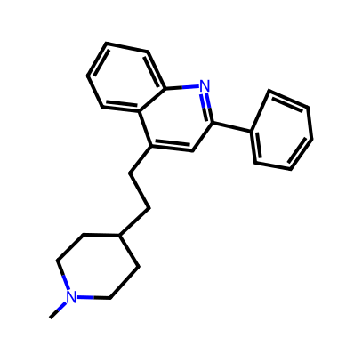 CN1CCC(CCc2cc(-c3ccccc3)nc3ccccc23)CC1